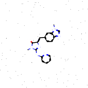 CN1C(=O)/C(=C/c2ccc3ncn(C)c3c2)N=C1Nc1ccccn1